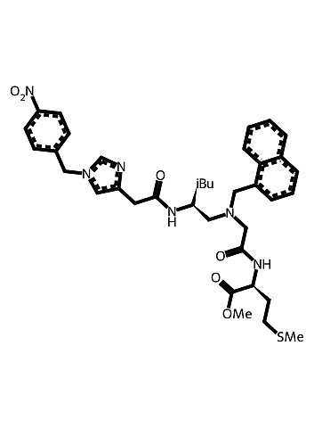 CC[C@H](C)[C@@H](CN(CC(=O)N[C@@H](CCSC)C(=O)OC)Cc1cccc2ccccc12)NC(=O)Cc1cn(Cc2ccc([N+](=O)[O-])cc2)cn1